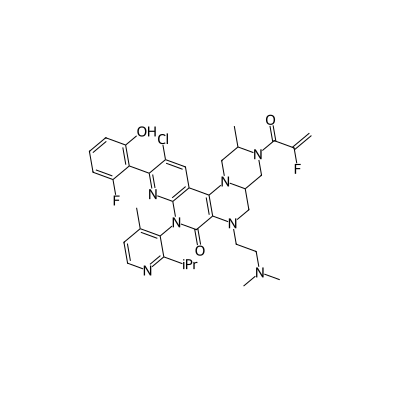 C=C(F)C(=O)N1CC2CN(CCN(C)C)c3c(c4cc(Cl)c(-c5c(O)cccc5F)nc4n(-c4c(C)ccnc4C(C)C)c3=O)N2CC1C